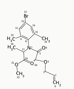 C=CCOCC(=O)N(c1c(C)cc(Br)cc1C)C(C)C(=O)OC